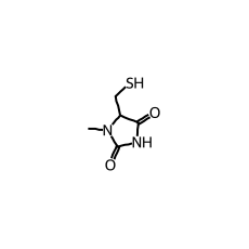 CN1C(=O)NC(=O)C1CS